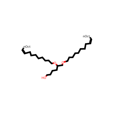 CCCCCCCC/C=C\CCCCCCCCOCC(CCCCO)OCCCCCCCC/C=C\CCCCCCCC